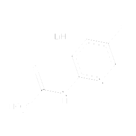 O=C(O)C(=O)Nc1ccc(Cl)cn1.[LiH]